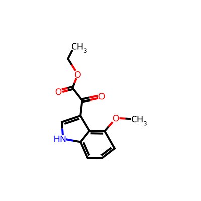 CCOC(=O)C(=O)c1c[nH]c2cccc(OC)c12